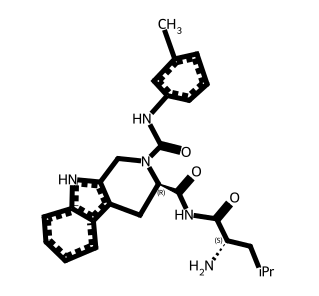 Cc1cccc(NC(=O)N2Cc3[nH]c4ccccc4c3C[C@@H]2C(=O)NC(=O)[C@@H](N)CC(C)C)c1